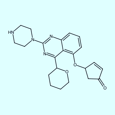 O=C1C=CC(Oc2cccc3nc(N4CCNCC4)nc(C4CCCCO4)c23)C1